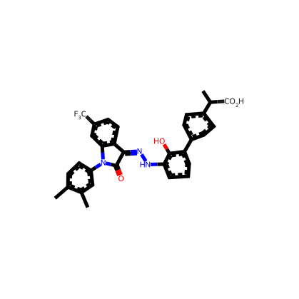 Cc1ccc(N2C(=O)C(=NNc3cccc(-c4ccc(C(C)C(=O)O)cc4)c3O)c3ccc(C(F)(F)F)cc32)cc1C